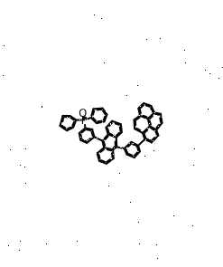 O=P(c1ccccc1)(c1ccccc1)c1cccc(-c2c3ccccc3c(-c3cccc(-c4ccc5ccc6cccc7ccc4c5c67)c3)c3ccccc23)c1